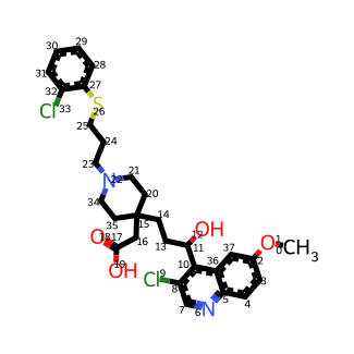 COc1ccc2ncc(Cl)c(C(O)CCC3(CC(=O)O)CCN(CCCSc4ccccc4Cl)CC3)c2c1